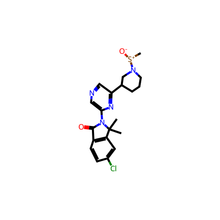 C[S+]([O-])N1CCCC(c2cncc(N3C(=O)c4ccc(Cl)cc4C3(C)C)n2)C1